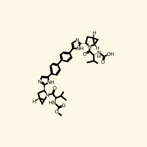 COC(=O)N[C@@H](C(=O)N1C2C[C@@H]2C[C@H]1c1ncc(-c2ccc(-c3ccc(-c4cnc([C@@H]5C[C@@H]6C[C@@H]6N5C(=O)[C@H](NC(=O)O)C(C)C)[nH]4)cc3)cc2)[nH]1)C(C)C